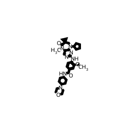 COc1cc(C(=O)N[C@H]2CC[C@H](N3CCOCC3)CC2)ccc1NC1=NC2C(C=N1)N(C)C(=O)C1(CC1)CN2C1CCCC1